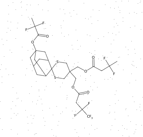 CC(F)(F)CC(=O)OCC1(COC(=O)CC(F)(F)C(F)(F)F)CSC2(SC1)C1CC3CC2CC(OC(=O)C(C)(F)F)(C3)C1